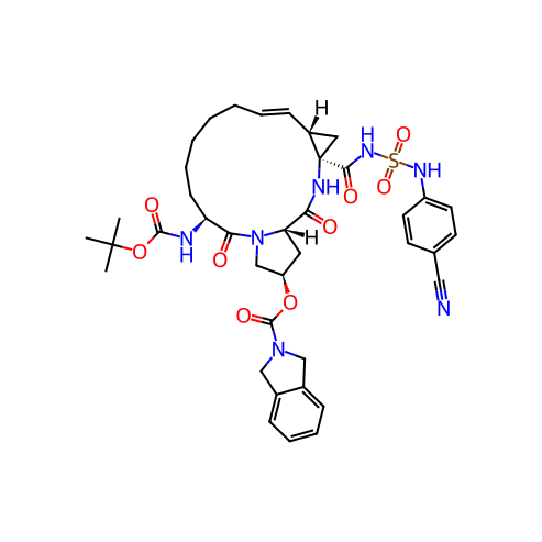 CC(C)(C)OC(=O)N[C@H]1CCCCC/C=C/[C@@H]2C[C@@]2(C(=O)NS(=O)(=O)Nc2ccc(C#N)cc2)NC(=O)[C@@H]2C[C@@H](OC(=O)N3Cc4ccccc4C3)CN2C1=O